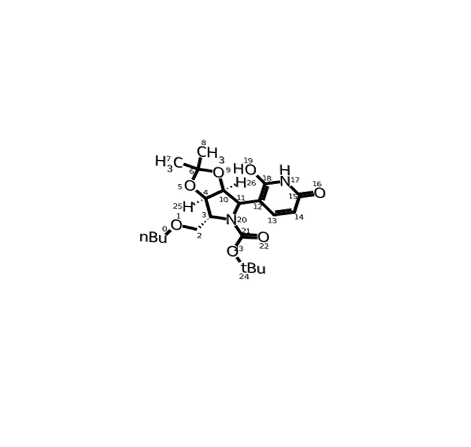 CCCCOC[C@@H]1[C@H]2OC(C)(C)O[C@H]2C(c2ccc(=O)[nH]c2O)N1C(=O)OC(C)(C)C